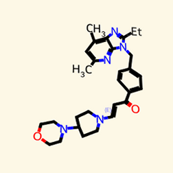 CCc1nc2c(C)cc(C)nc2n1Cc1ccc(C(=O)/C=C/N2CCC(N3CCOCC3)CC2)cc1